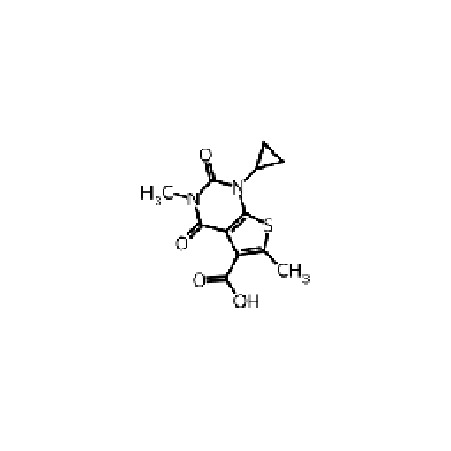 Cc1sc2c(c1C(=O)O)c(=O)n(C)c(=O)n2C1CC1